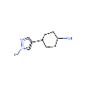 CCn1cc(C2CCC(N)CC2)cn1